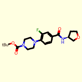 CC(C)(C)OC(=O)N1CCN(c2ccc(C(=O)N[C@H]3CCOC3)cc2F)CC1